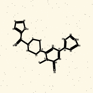 Cn1c(N2CCC(C(=O)c3ccco3)CC2)nc(-c2ccncn2)cc1=O